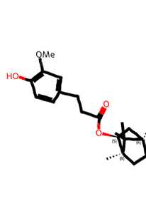 COc1cc(CCC(=O)O[C@H]2C[C@H]3CC[C@]2(C)C3(C)C)ccc1O